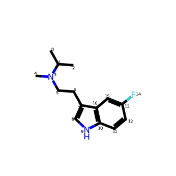 CC(C)N(C)CCc1c[nH]c2ccc(F)cc12